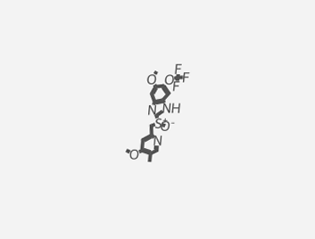 COc1cc(C[S+]([O-])c2nc3cc(OC)c(OC(F)(F)F)cc3[nH]2)ncc1C